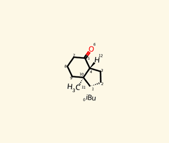 CC[C@H](C)[C@H]1CC[C@H]2C(=O)CCC[C@]12C